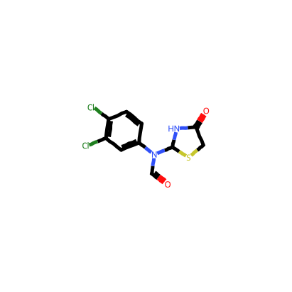 O=CN(c1ccc(Cl)c(Cl)c1)C1NC(=O)CS1